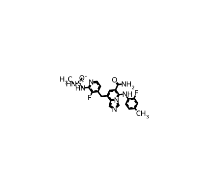 CN[S+]([O-])Nc1nccc(Cc2cc(C(N)=O)c(Nc3ccc(C)cc3F)n3cncc23)c1F